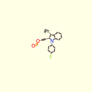 CC(C)c1c(C#COP=O)n(-c2ccc(F)cc2)c2ccccc12